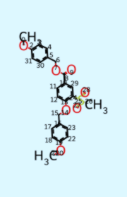 COc1ccc(COC(=O)c2ccc(OCc3ccc(OC)cc3)c(S(C)(=O)=O)c2)cc1